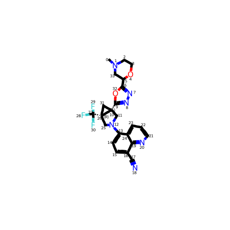 CN1CCOC(c2nnc([C@]34CN(c5ccc(C#N)c6ncccc56)C[C@@]3(C(F)(F)F)C4)o2)C1